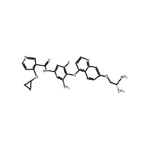 C[C@@H](N)COc1ccc2c(Oc3c(F)cc(NC(=O)c4cnccc4OC4CC4)cc3P)ccnc2c1